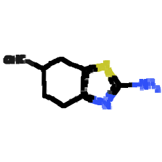 Nc1nc2c(s1)CC(C=O)CC2